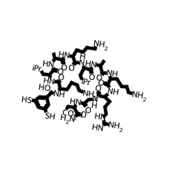 CC(C)CC(NC(=O)C(CCCCN)NC(=O)C(C)NC(=O)C(CC(C)C)NC(=O)C(CCCCN)NC(O)c1cc(S)cc(S)c1)C(=O)NC(C)C(=O)NC(CCCCN)C(=O)NC(CCCNC(=N)N)C(=O)NCC(=O)NC(CC(=O)O)C(N)=O